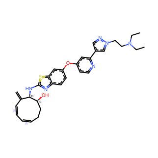 C=C1/C=C\C=C/CC[C@H](O)[C@@H]1Nc1nc2ccc(Oc3ccnc(-c4cnn(CCN(CC)CC)c4)c3)cc2s1